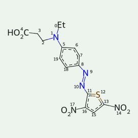 CCN(CCC(=O)O)c1ccc(N=Nc2sc([N+](=O)[O-])cc2[N+](=O)[O-])cc1